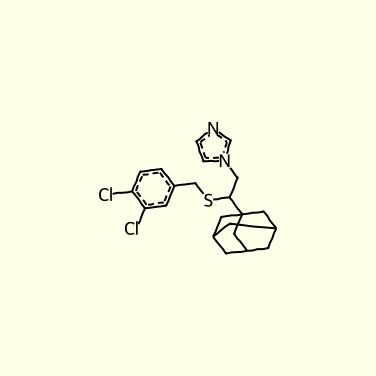 Clc1ccc(CSC(Cn2ccnc2)C23CC4CC(CC(C4)C2)C3)cc1Cl